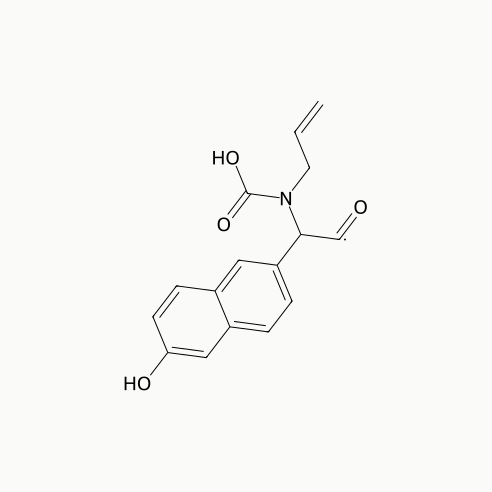 C=CCN(C(=O)O)C([C]=O)c1ccc2cc(O)ccc2c1